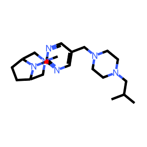 CC(C)CN1CCN(Cc2cnc(N3C4CCC3CN(C)C4)nc2)CC1